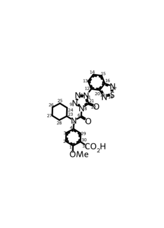 COc1ccc(N(C(=O)n2nnn(-c3cccc4nsnc34)c2=O)C2CCCCC2)cc1C(=O)O